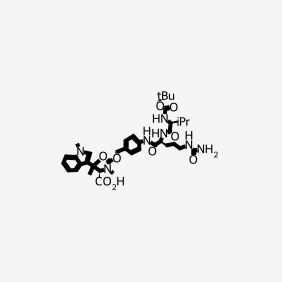 CC(C)[C@H](NC(=O)OC(C)(C)C)C(=O)N[C@@H](CCCNC(N)=O)C(=O)Nc1ccc(COC(=O)N(C)[C@H](C(=O)O)C(C)(C)c2cn(C)c3ccccc23)cc1